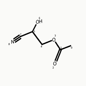 CC(=O)OCC(O)C#N